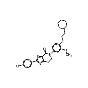 COc1cc(N2CCc3nc(-c4ccc(Cl)cc4)sc3C2=O)ccc1OCCN1CCCCC1